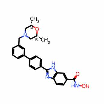 C[C@@H]1CN(Cc2cccc(-c3ccc(-c4nc5ccc(C(=O)NO)cc5[nH]4)cc3)c2)C[C@H](C)O1